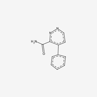 NC(=O)c1nnccc1-c1ccccc1